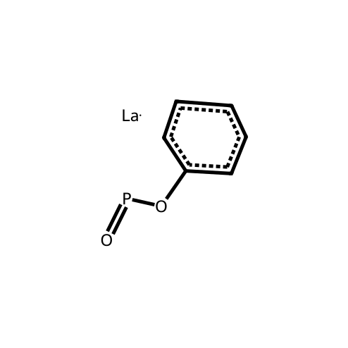 O=POc1ccccc1.[La]